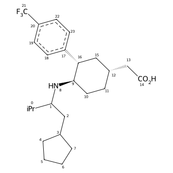 CC(C)C(CC1CCCC1)N[C@@H]1CC[C@@H](CC(=O)O)C[C@H]1c1ccc(C(F)(F)F)cc1